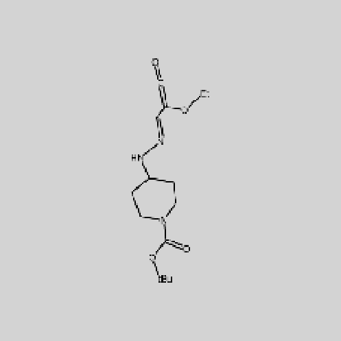 CCOC(=C=O)/C=N/NC1CCN(C(=O)OC(C)(C)C)CC1